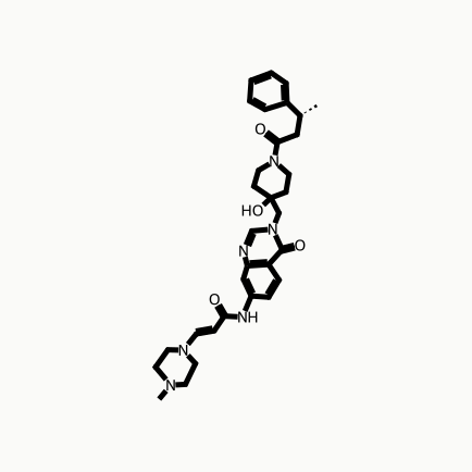 C[C@H](CC(=O)N1CCC(O)(Cn2cnc3cc(NC(=O)C=CN4CCN(C)CC4)ccc3c2=O)CC1)c1ccccc1